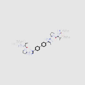 COC(=O)N[C@H](C(=O)N1CCC[C@H]1c1nc(C)c(-c2ccc(-c3ccc(-c4c[nH]c([C@@H]5CCCN5C(=O)[C@@H](NC(=O)O)[C@@H](C)OC)n4)cc3)cc2)[nH]1)C(C)OC